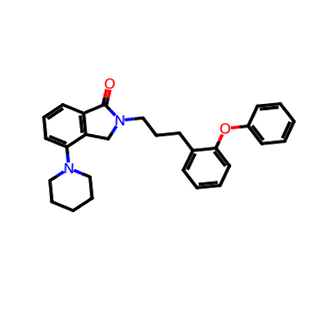 O=C1c2cccc(N3CCCCC3)c2CN1CCCc1ccccc1Oc1ccccc1